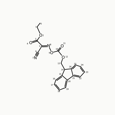 CCOC(=O)/C(C#N)=N/OC(=O)OCC1c2ccccc2-c2ccccc21